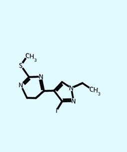 CCn1cc(C2=NC(SC)=NCC2)c(I)n1